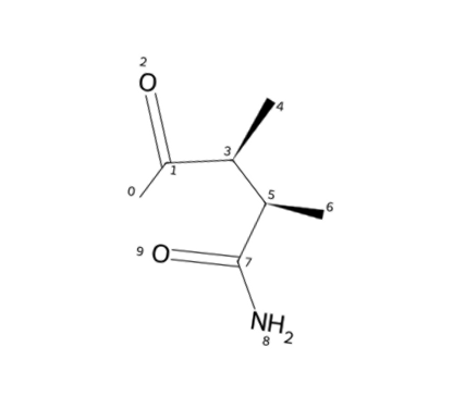 CC(=O)[C@@H](C)[C@@H](C)C(N)=O